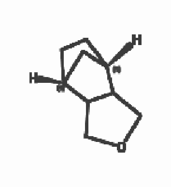 C1OCC2C1[C@@H]1CC[C@H]2C1